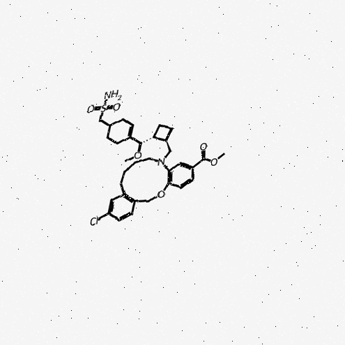 COC(=O)c1ccc2c(c1)N(C[C@@H]1CC[C@H]1C(OC)C1=CCC(CS(N)(=O)=O)CC1)CCCCc1cc(Cl)ccc1CO2